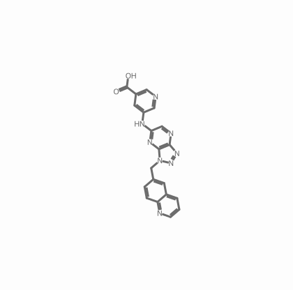 O=C(O)c1cncc(Nc2cnc3nnn(Cc4ccc5ncccc5c4)c3n2)c1